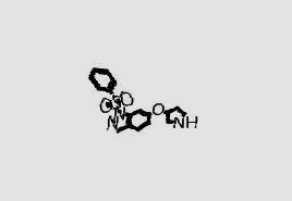 O=S(=O)(c1ccccc1)n1ncc2ccc(OC3CCNC3)cc21